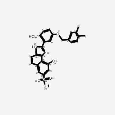 Cc1ccc(COc2cccc(-c3nc4c(ccc5cc(S(=O)(=O)O)cc(O)c54)[nH]3)c2)cc1C.Cl